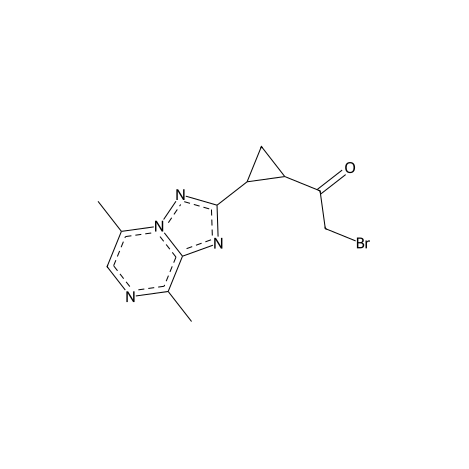 Cc1ncc(C)n2nc(C3CC3C(=O)CBr)nc12